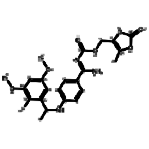 [CH2]C(Nc1ccc(C(N)=NC(=O)OCc2oc(=O)oc2C)cc1)c1cc(OCC)cc(OCC)c1F